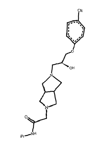 CC(C)NC(=O)CN1CC2CN(C[C@H](O)COc3ccc(C#N)cc3)CC2C1